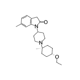 CCO[C@H]1CC[C@](C)(N2CCC(N3C(=O)Cc4ccc(C)cc43)CC2)CC1